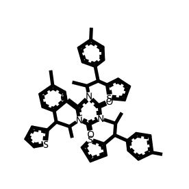 Cc1ccc(C(c2cccs2)C(C)n2c(=O)n(C(C)C(c3ccc(C)cc3)c3cccs3)c(=O)n(C(C)C(c3ccc(C)cc3)c3cccs3)c2=O)cc1